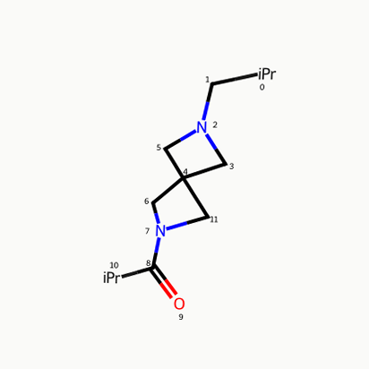 CC(C)CN1CC2(C1)CN(C(=O)C(C)C)C2